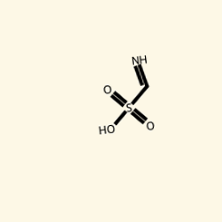 N=CS(=O)(=O)O